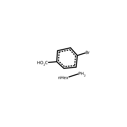 CCCCCCP.O=C(O)c1ccc(Br)cc1